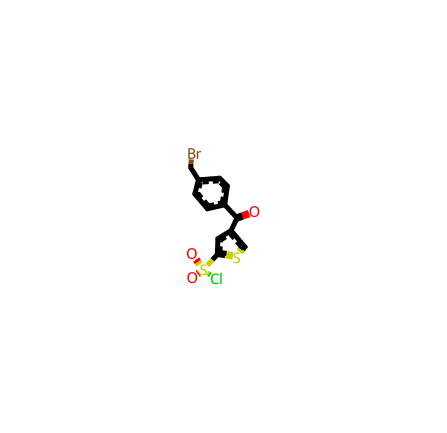 O=C(c1ccc(CBr)cc1)c1csc(S(=O)(=O)Cl)c1